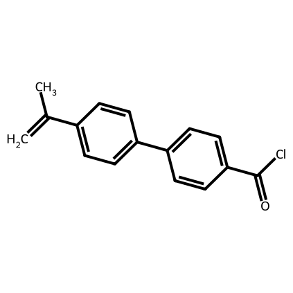 C=C(C)c1ccc(-c2ccc(C(=O)Cl)cc2)cc1